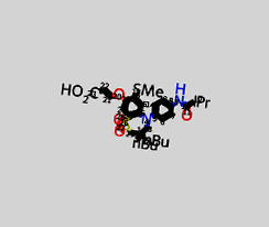 CCCCC1(CCCC)CN(c2ccc(NC(=O)C(C)C)cc2)c2cc(SC)c(OC=CC(=O)O)cc2S(=O)(=O)C1